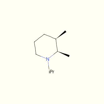 CC(C)N1CCC[C@@H](C)[C@H]1C